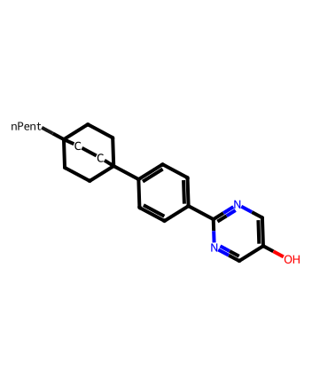 CCCCCC12CCC(c3ccc(-c4ncc(O)cn4)cc3)(CC1)CC2